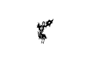 O=C(Cc1ccc(I)cc1)N1CCN(c2ncnc3[nH]ccc23)CC2(CC2)C1